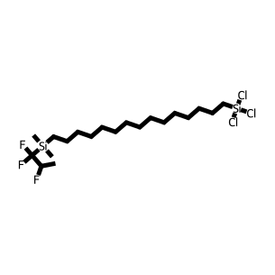 CC(F)C(F)(F)[Si](C)(C)CCCCCCCCCCCCCCC[Si](Cl)(Cl)Cl